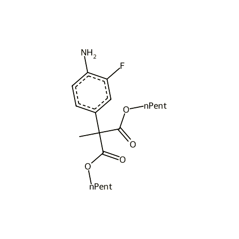 CCCCCOC(=O)C(C)(C(=O)OCCCCC)c1ccc(N)c(F)c1